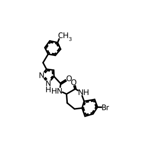 Cc1ccc(Cc2cc(C(=O)NC3CCc4ccc(Br)cc4NC3=O)[nH]n2)cc1